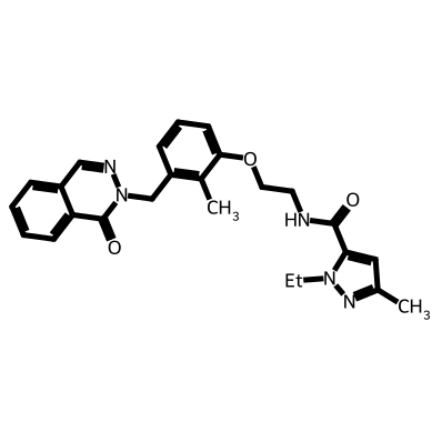 CCn1nc(C)cc1C(=O)NCCOc1cccc(Cn2ncc3ccccc3c2=O)c1C